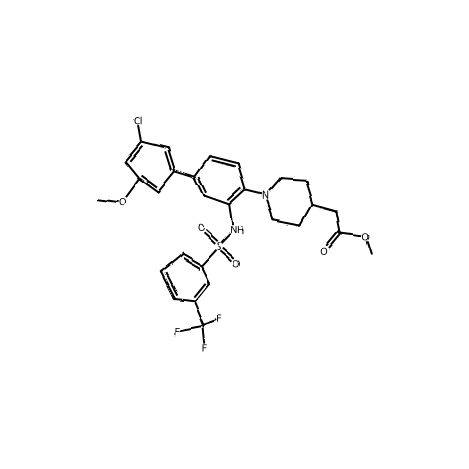 COC(=O)CC1CCN(c2ccc(-c3cc(Cl)cc(OC)c3)cc2NS(=O)(=O)c2cccc(C(F)(F)F)c2)CC1